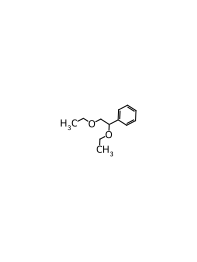 CCOCC(OCC)c1ccccc1